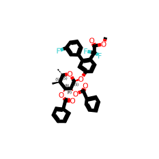 COC(=O)C(F)(F)c1ccc(O[C@@H]2O[C@@H](C)[C@H](C)[C@@H](OC(=O)c3ccccc3)[C@H]2OC(=O)c2ccccc2)cc1-c1cccc(F)c1